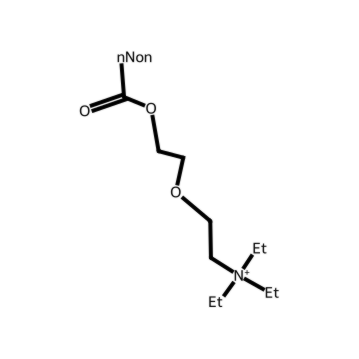 CCCCCCCCCC(=O)OCCOCC[N+](CC)(CC)CC